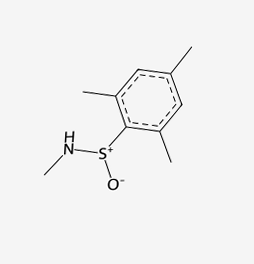 CN[S+]([O-])c1c(C)cc(C)cc1C